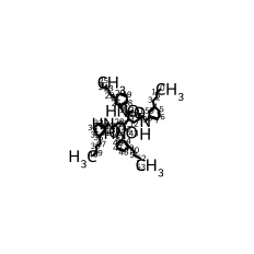 CCCCc1cccc(NC(=O)CC(C(=O)Nc2cccc(CCCC)c2)C(CC(=O)Nc2cccc(CCCC)c2)C(=O)Nc2cccc(CCCC)c2)c1